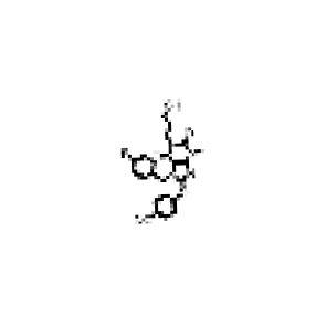 Cn1c(=O)n(CCCO)c(=O)c2c1nc(Oc1ccc(C#N)cc1)n2CC1C=CC(F)=CC1